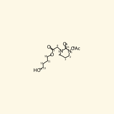 CC(=O)ON1CCCN(CC(=O)OCCCCO)C1=O